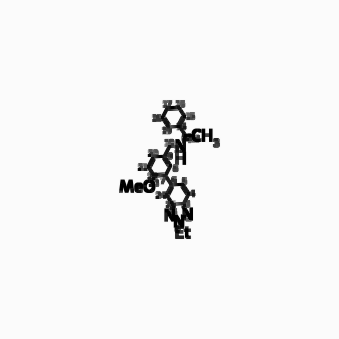 CCn1nc2ccc(-c3cc(CN[C@H](C)c4ccccc4)ccc3OC)cc2n1